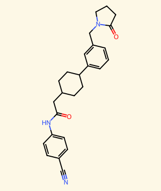 N#Cc1ccc(NC(=O)CC2CCC(c3cccc(CN4CCCC4=O)c3)CC2)cc1